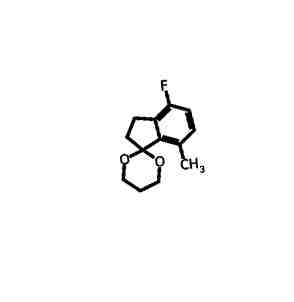 Cc1ccc(F)c2c1C1(CC2)OCCCO1